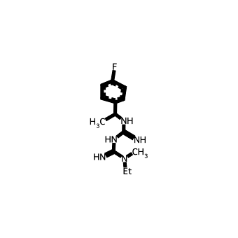 CCN(C)C(=N)NC(=N)NC(C)c1ccc(F)cc1